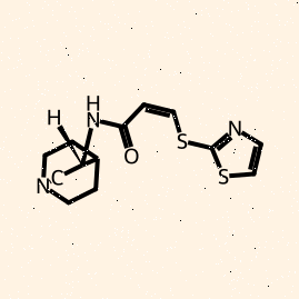 O=C(/C=C\Sc1nccs1)N[C@H]1CN2CCC1CC2